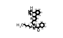 CCCCCn1nc(C(=O)C2CCCCC2)nc1Cc1ccc(-c2ccccc2-c2nnn[nH]2)cn1